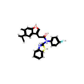 Cc1cc2occ(CC(=O)N(c3ccc(F)cc3)c3nc4ccccc4s3)c2cc1C(C)C